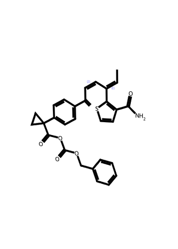 C=C(/C=C\C(=C/C)c1sccc1C(N)=O)c1ccc(C2(C(=O)OC(=O)OCc3ccccc3)CC2)cc1